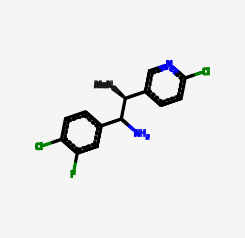 CN[C@@H](c1ccc(Cl)nc1)C(N)c1ccc(Cl)c(F)c1